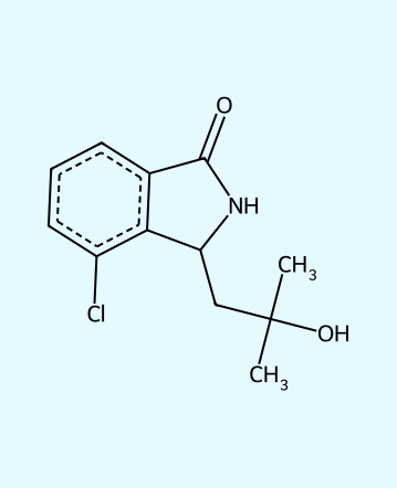 CC(C)(O)CC1NC(=O)c2cccc(Cl)c21